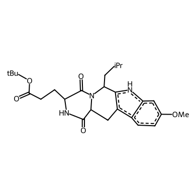 COc1ccc2c3c([nH]c2c1)C(CC(C)C)N1C(=O)C(CCC(=O)OC(C)(C)C)NC(=O)C1C3